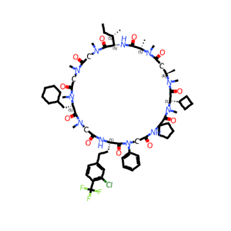 CC[C@H](C)[C@@H]1NC(=O)[C@H](C)N(C)C(=O)C[C@@H](C)N(C)C(=O)[C@H](C2CCC2)N(C)C(=O)C2(CCCC2)NC(=O)CN(c2ccccc2)C(=O)[C@H](CCc2ccc(C(F)(F)F)c(Cl)c2)NC(=O)CN(C)C(=O)[C@H](CC2CCCCC2)N(C)C(=O)CN(C)C(=O)CN(C)C1=O